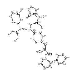 CCN(CC)C(=O)[C@@H]1CCCN(Cc2ccc(C(=O)N(C)CCN3CCC(OC(=O)Nc4ccccc4-c4ccccc4)CC3)o2)C1